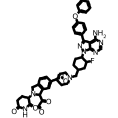 Nc1ncnc2c1c(-c1ccc(Oc3ccccc3)cc1)nn2C1CCC(CN2CC3CCC2CN3c2ccc3c(c2)C(C(=O)C=O)N(C2CCC(=O)NC2=O)C3)CC1F